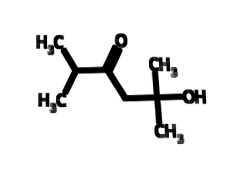 CC(C)C(=O)CC(C)(C)O